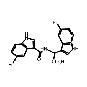 O=C(NC(C(=O)O)c1c[nH]c2ccc(Br)cc12)c1c[nH]c2ccc(Br)cc12